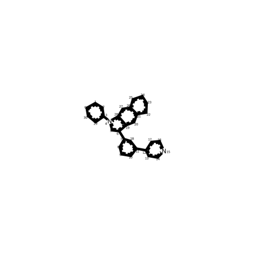 c1ccc(-n2cc(-c3cccc(-c4ccncc4)c3)c3cc4ccccc4cc32)cc1